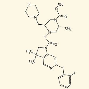 C[C@@H]1CN(CC(=O)N2CC(C)(C)c3cnc(Cc4ccccc4F)cc32)[C@@H](CN2CCOCC2)CN1C(=O)OC(C)(C)C